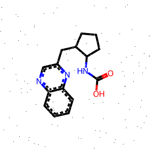 O=C(O)NC1CCCC1Cc1cnc2ccccc2n1